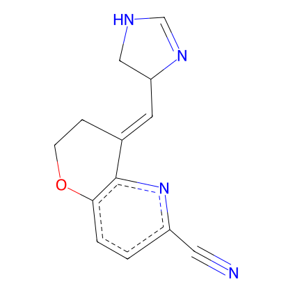 N#Cc1ccc2c(n1)/C(=C/C1CNC=N1)CCO2